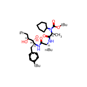 CC[C@H](C)[C@H](NC(=O)[C@H](C)N(C(=O)OC(C)(C)C)C1CCCCC1)C(=O)N[C@@H](Cc1ccc(C(C)(C)C)cc1)[C@@H](O)[C@@H](O)CC(C)C